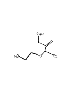 CCC(OCCO)C(=O)COC(C)=O